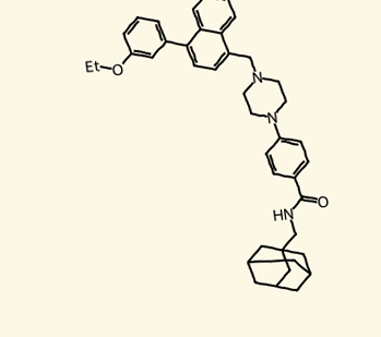 CCOc1cccc(-c2ccc(CN3CCN(c4ccc(C(=O)NCC56CC7CC(CC(C7)C5)C6)cc4)CC3)c3ccccc23)c1